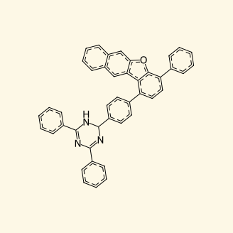 c1ccc(C2=NC(c3ccc(-c4ccc(-c5ccccc5)c5oc6cc7ccccc7cc6c45)cc3)NC(c3ccccc3)=N2)cc1